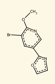 COc1ncc(-c2ncco2)cc1Br